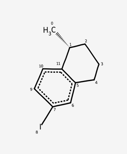 C[C@@H]1CCCc2cc(I)ccc21